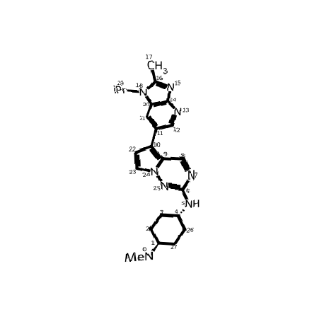 CN[C@H]1CC[C@H](Nc2ncc3c(-c4cnc5nc(C)n(C(C)C)c5c4)ccn3n2)CC1